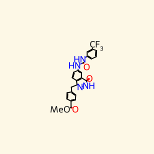 COC(=O)c1ccc(Cc2n[nH]c(=O)c3cc(NC(=O)Nc4cccc(C(F)(F)F)c4)ccc23)cc1